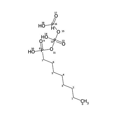 CCCCCCCCP(=O)(O)OP(=O)(O)O[PH](=O)O